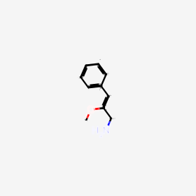 COC(=Cc1ccccc1)CN